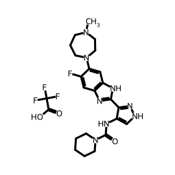 CN1CCCN(c2cc3[nH]c(-c4n[nH]cc4NC(=O)N4CCCCC4)nc3cc2F)CC1.O=C(O)C(F)(F)F